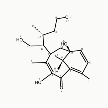 CC1=C2C(=O)/C(O)=C(/C)C([C@H](CO)[C@H](C)CCO)C[C@](O)(C=C1)[C@H]2C